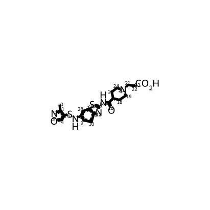 Cc1nocc1SNc1ccc2nc(NC(=O)C3CCN(CCC(=O)O)CC3)sc2c1